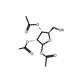 CC(=O)OC1O[C@H](CO)[C@@H](OC(C)=O)[C@H]1OC(C)=O